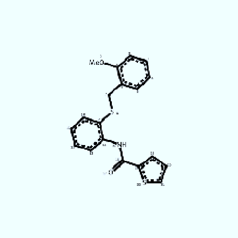 COc1ccccc1CSc1ccccc1NC(=O)c1cccs1